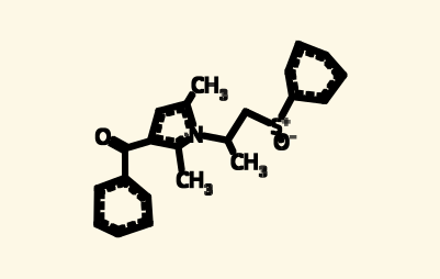 Cc1cc(C(=O)c2ccccc2)c(C)n1C(C)C[S+]([O-])c1ccccc1